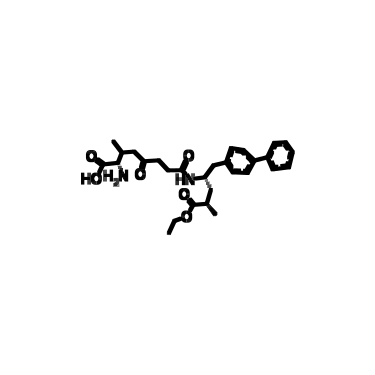 CCOC(=O)[C@H](C)C[C@@H](Cc1ccc(-c2ccccc2)cc1)NC(=O)CCC(=O)CC(C)[C@H](N)C(=O)O